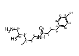 CC(CCNC(=O)CCCc1ccc(I)cc1)CC(S)CN